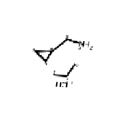 CCC.Cl.NCC1CC1